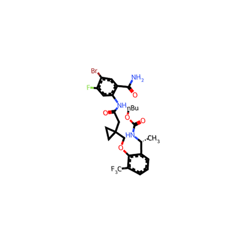 CCCCOC(=O)N[C@H](C)c1cccc(C(F)(F)F)c1OCC1(CC(=O)Nc2cc(F)c(Br)cc2C(N)=O)CC1